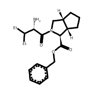 CCC(CC)[C@H](N)C(=O)N1C[C@@H]2CCC[C@@H]2[C@H]1C(=O)OCc1ccccc1